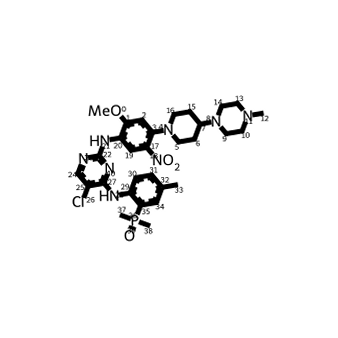 COc1cc(N2CCC(N3CCN(C)CC3)CC2)c([N+](=O)[O-])cc1Nc1ncc(Cl)c(Nc2ccc(C)cc2P(C)(C)=O)n1